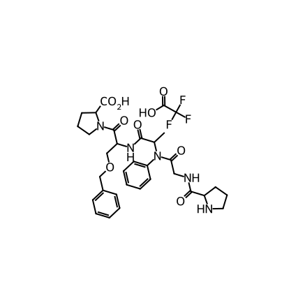 CC(C(=O)NC(COCc1ccccc1)C(=O)N1CCCC1C(=O)O)N(C(=O)CNC(=O)C1CCCN1)c1ccccc1.O=C(O)C(F)(F)F